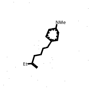 C=C(CC)CCCCc1ccc(NC)cc1